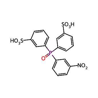 O=[N+]([O-])c1cccc(P(=O)(c2cccc(S(=O)(=O)O)c2)c2cccc(S(=O)(=O)O)c2)c1